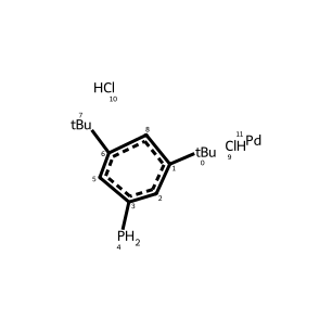 CC(C)(C)c1cc(P)cc(C(C)(C)C)c1.Cl.Cl.[Pd]